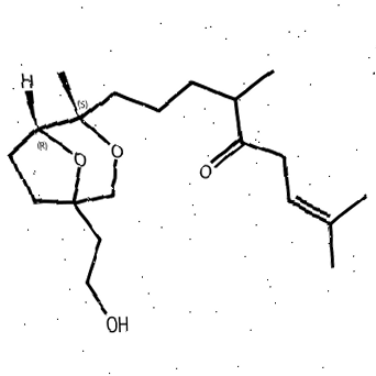 CC(C)=CCC(=O)C(C)CCC[C@]1(C)OCC2(CCO)CC[C@H]1O2